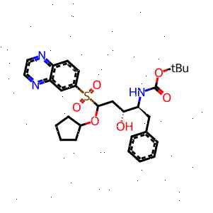 CC(C)(C)OC(=O)N[C@@H](Cc1ccccc1)[C@H](O)CC(OC1CCCC1)S(=O)(=O)c1ccc2nccnc2c1